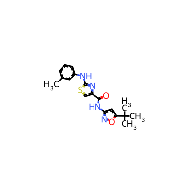 Cc1cccc(Nc2nc(C(=O)Nc3cc(C(C)(C)C)on3)cs2)c1